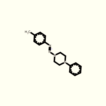 Cc1ccc(/N=N/N2CCN(c3ccccc3)CC2)cc1